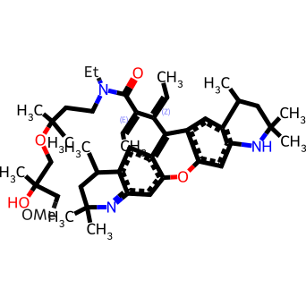 C/C=C(C1=c2cc3c(cc2Oc2cc4c(cc21)C(C)CC(C)(C)N4)=NC(C)(C)CC3C)\C(=C/C)C(=O)N(CC)CCC(C)(C)OCC(C)(O)COC